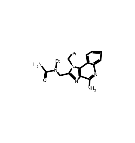 CCN(Cc1nc2c(N)nc3ccccc3c2n1CC(C)C)C(N)=O